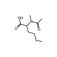 CSCCC(C(=O)O)N(C)C(C)=O